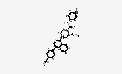 C[C@H]1CN(c2nnc(-c3ccc(C#N)cc3)c3ccccc23)CCN1C(=O)Nc1ccc(F)cc1